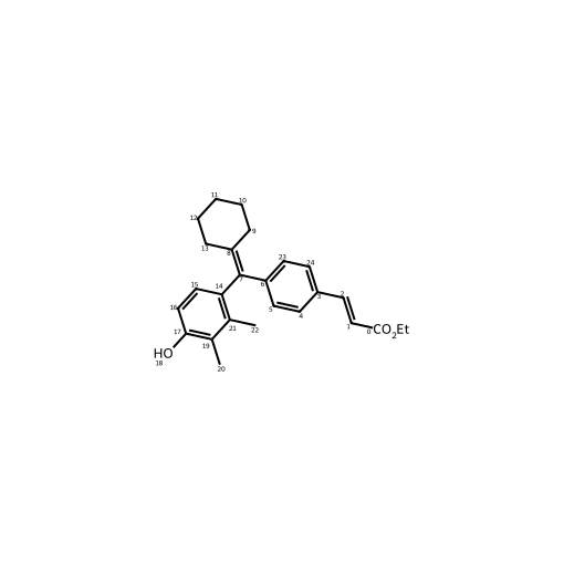 CCOC(=O)C=Cc1ccc(C(=C2CCCCC2)c2ccc(O)c(C)c2C)cc1